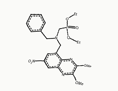 CCOP(=O)(CN(Cc1ccccc1)Cc1cc([N+](=O)[O-])cc2nc(OC)c(OC)nc12)OCC